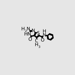 Cc1c(C(=O)Nc2ccccc2)sc2nc(N)[nH]c(=O)c12